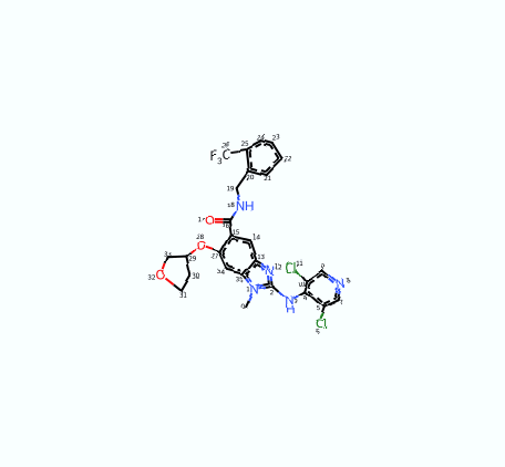 Cn1c(Nc2c(Cl)cncc2Cl)nc2cc(C(=O)NCc3ccccc3C(F)(F)F)c(OC3CCOC3)cc21